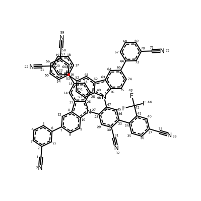 N#Cc1cccc(-c2ccc3c(c2)c2cc(-c4cccc(C#N)c4)ccc2n3-c2cc(C#N)c(-c3ccc(C#N)cc3C(F)(F)F)cc2-n2c3ccc(-c4cccc(C#N)c4)cc3c3cc(-c4cccc(C#N)c4)ccc32)c1